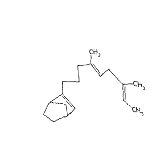 CC=C(C)CC=C(C)CCCC1=CC2CCC1C2